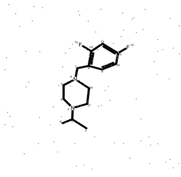 CC(C)N1CCN(Cc2ccc(F)cc2F)CC1